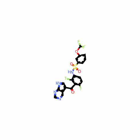 O=C(c1c(F)ccc(NS(=O)(=O)c2cccc(OC(F)F)c2)c1F)c1c[nH]c2ncncc12